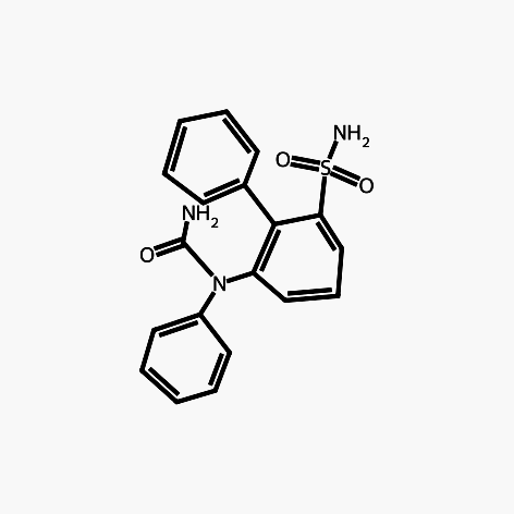 NC(=O)N(c1ccccc1)c1cccc(S(N)(=O)=O)c1-c1ccccc1